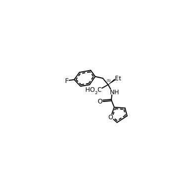 CC[C@@](Cc1ccc(F)cc1)(NC(=O)c1ccco1)C(=O)O